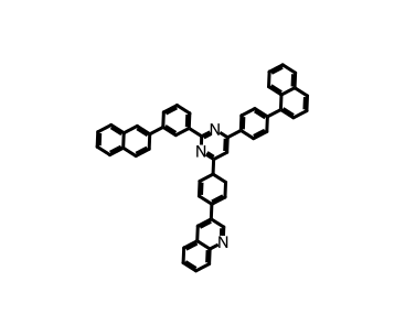 C1=CC(c2cc(-c3ccc(-c4cccc5ccccc45)cc3)nc(-c3cccc(-c4ccc5ccccc5c4)c3)n2)CC=C1c1cnc2ccccc2c1